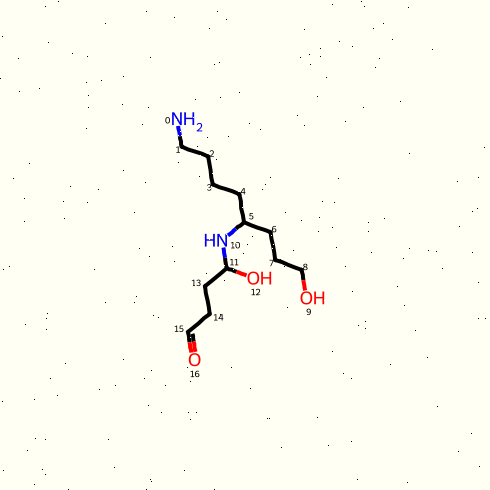 NCCCCC(CCCO)NC(O)CCC=O